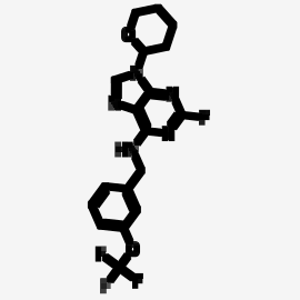 Fc1nc(NCc2cccc(OC(F)(F)F)c2)c2ncn(C3CCCCO3)c2n1